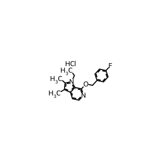 CCn1c(C)c(C)c2ccnc(OCc3ccc(F)cc3)c21.Cl